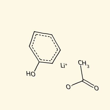 CC(=O)[O-].Oc1ccccc1.[Li+]